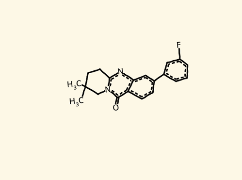 CC1(C)CCc2nc3cc(-c4cccc(F)c4)ccc3c(=O)n2C1